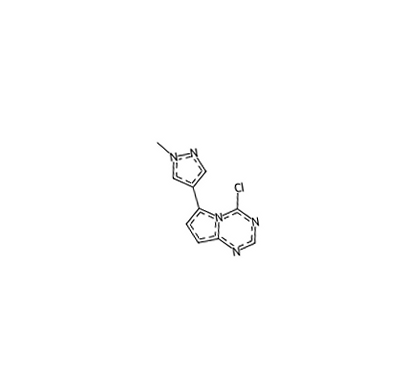 Cn1cc(-c2ccc3ncnc(Cl)n23)cn1